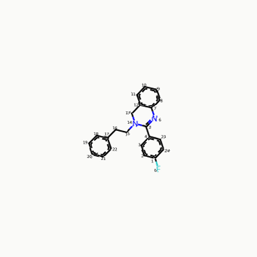 Fc1ccc(C2=Nc3ccccc3CN2CCc2ccccc2)cc1